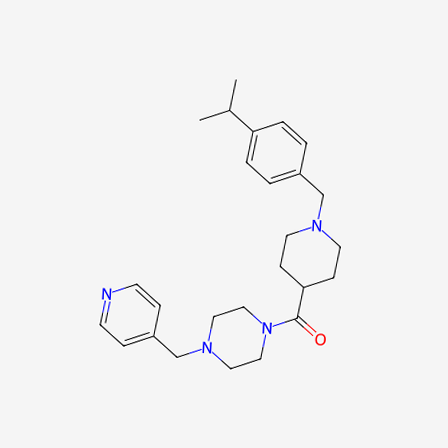 CC(C)c1ccc(CN2CCC(C(=O)N3CCN(Cc4ccncc4)CC3)CC2)cc1